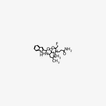 CC(C)CC(NC(=O)c1cc2ccccc2[nH]1)C(=O)NN(CCC(N)=O)C(=O)CF